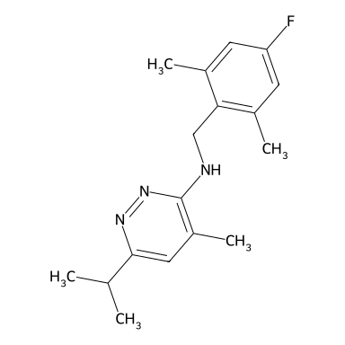 Cc1cc(C(C)C)nnc1NCc1c(C)cc(F)cc1C